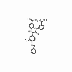 COc1cc(C(Nc2ccc(C(=N)N)cc2)C(=O)Nc2cccc(C(=O)O)c2)ccc1OCc1ccccc1